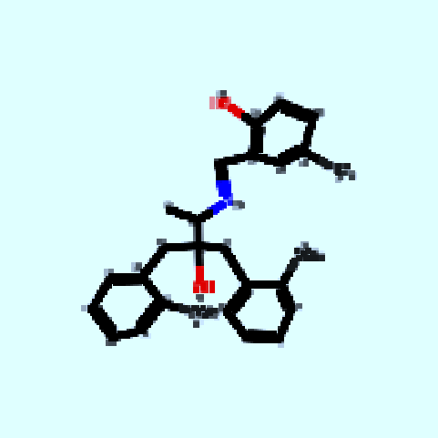 COc1ccccc1CC(O)(Cc1ccccc1OC)C(C)N=Cc1cc([N+](=O)[O-])ccc1O